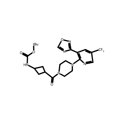 CC(C)(C)OC(=O)NC1CC(C(=O)N2CCN(c3ncc(C(F)(F)F)cc3-c3ncon3)CC2)C1